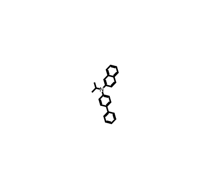 CC(C)N(c1ccc(-c2ccccc2)cc1)c1ccc2ccccc2c1